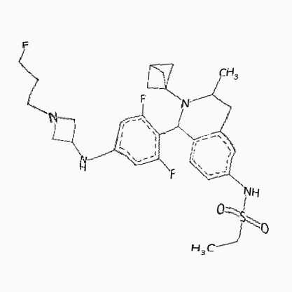 CCS(=O)(=O)Nc1ccc2c(c1)CC(C)N(C13CC(C1)C3)C2c1c(F)cc(NC2CN(CCCF)C2)cc1F